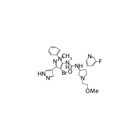 COCCN1C[C@@H](NC(=O)NC2=C(Br)C(c3cn[nH]c3)=N[N+]2(C)c2ccccc2)[C@H](c2cncc(F)c2)C1